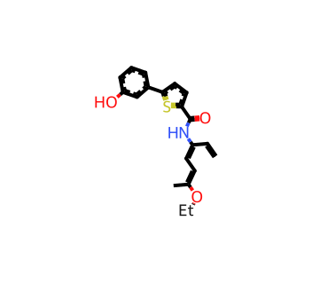 C=C/C(=C\C=C(/C)OCC)NC(=O)c1ccc(-c2cccc(O)c2)s1